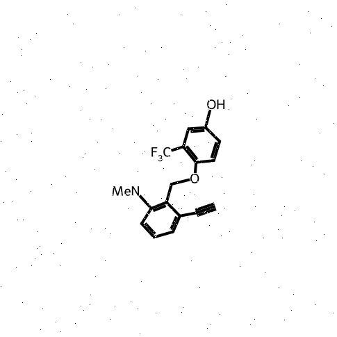 C#Cc1cccc(NC)c1COc1ccc(O)cc1C(F)(F)F